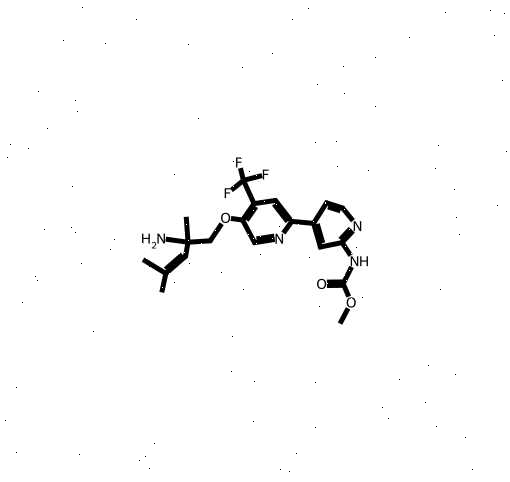 COC(=O)Nc1cc(-c2cc(C(F)(F)F)c(OCC(C)(N)C=C(C)C)cn2)ccn1